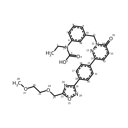 CCN(C(=O)O)c1cccc(Cn2nc(-c3ccc(-c4noc(COCCOC)n4)cc3)ccc2=O)c1